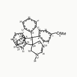 COc1ccc(C(c2ccccc2)(c2ccccc2)C2(c3ncon3)CN=CN(C)C2)cc1